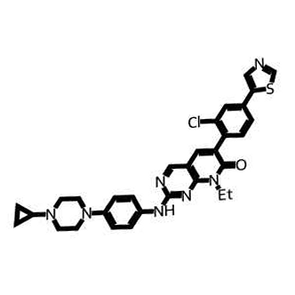 CCn1c(=O)c(-c2ccc(-c3cncs3)cc2Cl)cc2cnc(Nc3ccc(N4CCN(C5CC5)CC4)cc3)nc21